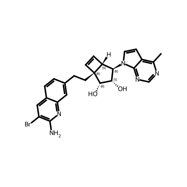 Cc1ncnc2c1ccn2[C@H]1[C@H](O)[C@H](O)[C@]2(CCc3ccc4cc(Br)c(N)nc4c3)C=C[C@H]12